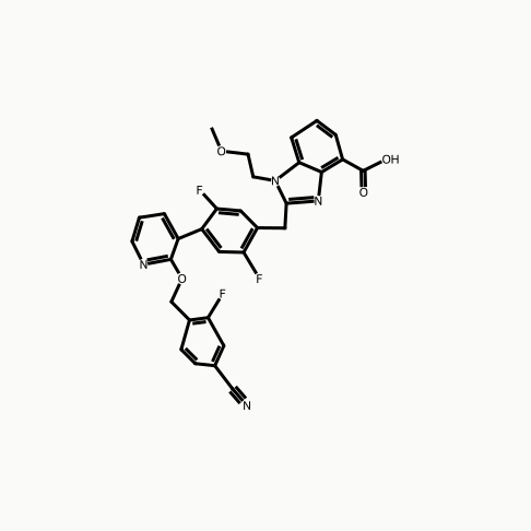 COCCn1c(Cc2cc(F)c(-c3cccnc3OCc3ccc(C#N)cc3F)cc2F)nc2c(C(=O)O)cccc21